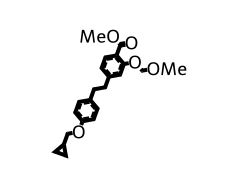 COCOc1cc(CCc2ccc(OCC3CC3)cc2)ccc1C(=O)OC